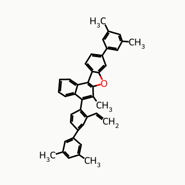 C=Cc1cc(-c2cc(C)cc(C)c2)ccc1-c1c(C)c2oc3cc(-c4cc(C)cc(C)c4)ccc3c2c2ccccc12